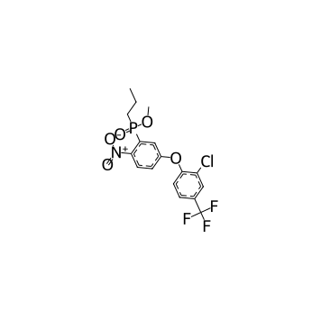 CCCP(=O)(OC)c1cc(Oc2ccc(C(F)(F)F)cc2Cl)ccc1[N+](=O)[O-]